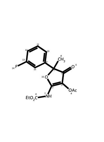 CCOC(=O)NC1=C(OC(C)=O)C(=O)C(C)(c2cccc(F)c2)O1